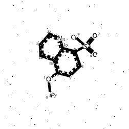 CC(C)Oc1ccc(S(=O)(=O)Cl)c2ncccc12